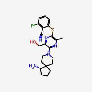 Cc1nc(N2CCC3(CCC[C@H]3N)CC2)c(CO)nc1Sc1cccc(F)c1C#N